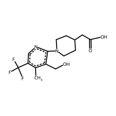 Cc1c(C(F)(F)F)cnc(N2CCC(CC(=O)O)CC2)c1CO